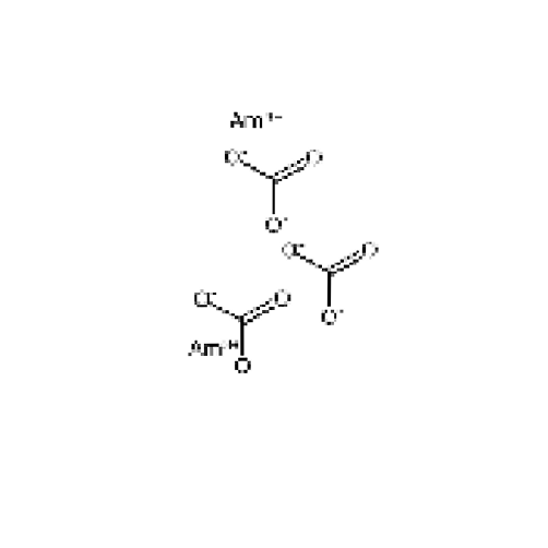 O=C([O-])[O-].O=C([O-])[O-].O=C([O-])[O-].[Am+3].[Am+3]